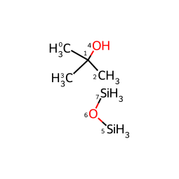 CC(C)(C)O.[SiH3]O[SiH3]